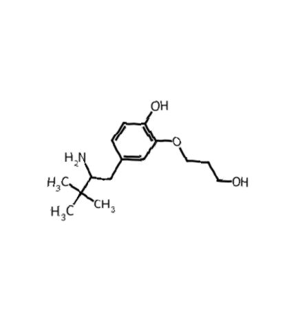 CC(C)(C)C(N)Cc1ccc(O)c(OCCCO)c1